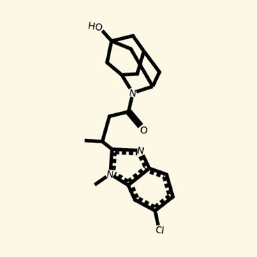 CC(CC(=O)N1C2CC3CC1CC(O)(C3)C2)c1nc2ccc(Cl)cc2n1C